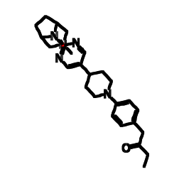 CCC(=O)Cc1ccc(N2CCC(c3cnc(N4C5CCC4CN(C)C5)nc3)CC2)cc1